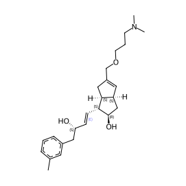 Cc1cccc(C[C@H](O)/C=C/[C@@H]2[C@H]3CC(COCCCN(C)C)=C[C@H]3C[C@H]2O)c1